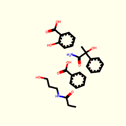 CC(O)(C(N)=O)c1ccccc1.CCC(=O)NCCCO.O=C(O)c1ccccc1.O=C(O)c1ccccc1O